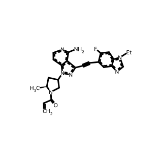 C=CC(=O)N1CC(n2nc(C#Cc3cc4ncn(CC)c4cc3F)c3c(N)nccc32)C[C@@H]1C